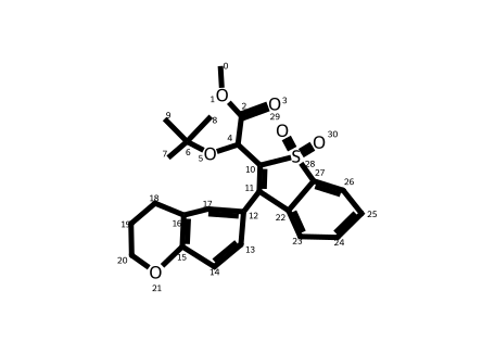 COC(=O)C(OC(C)(C)C)C1=C(c2ccc3c(c2)CCCO3)c2ccccc2S1(=O)=O